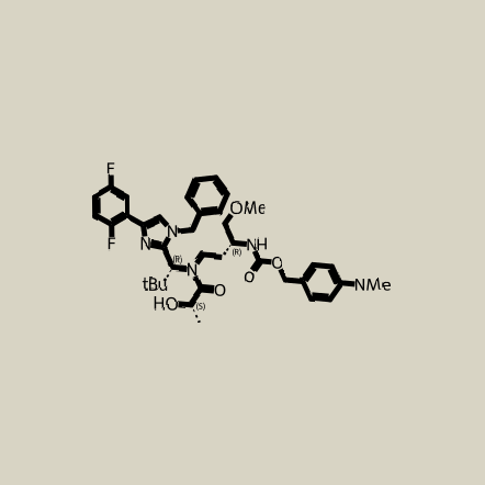 CNc1ccc(COC(=O)N[C@H](CCN(C(=O)[C@H](C)O)[C@@H](c2nc(-c3cc(F)ccc3F)cn2Cc2ccccc2)C(C)(C)C)COC)cc1